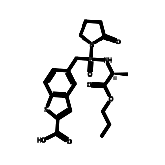 CCCOC(=O)[C@H](C)NP(=O)(Cc1ccc2sc(C(=O)O)cc2c1)N1CCCC1=O